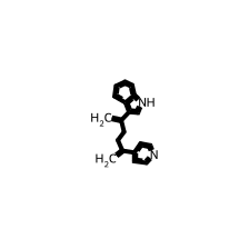 C=C(CCC(=C)c1c[nH]c2ccccc12)c1ccncc1